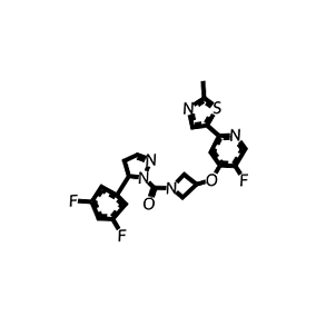 Cc1ncc(-c2cc(OC3CN(C(=O)N4N=CCC4c4cc(F)cc(F)c4)C3)c(F)cn2)s1